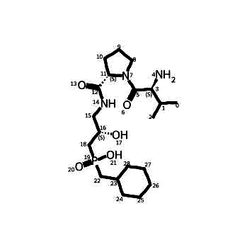 CC(C)[C@H](N)C(=O)N1CCC[C@H]1C(=O)NC[C@H](O)CP(=O)(O)CC1CCCCC1